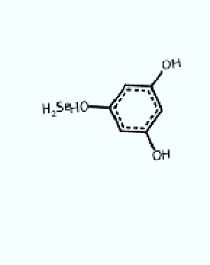 Oc1cc(O)cc(O)c1.[SeH2]